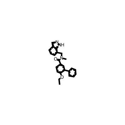 CCOc1ccc(C(=O)N(C)Cc2cccc3cn[nH]c23)cc1-c1ccccc1